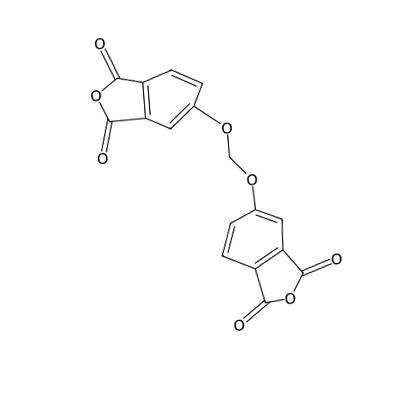 O=C1OC(=O)c2cc(OCOc3ccc4c(c3)C(=O)OC4=O)ccc21